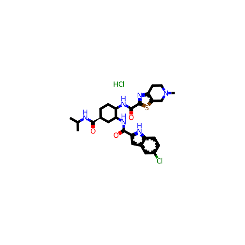 CC(C)NC(=O)[C@H]1CCC(NC(=O)c2nc3c(s2)CN(C)CC3)C(NC(=O)c2cc3cc(Cl)ccc3[nH]2)C1.Cl